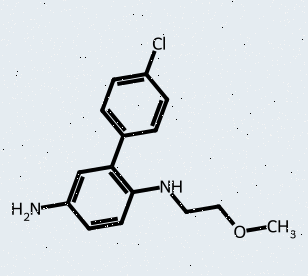 COCCNc1ccc(N)cc1-c1ccc(Cl)cc1